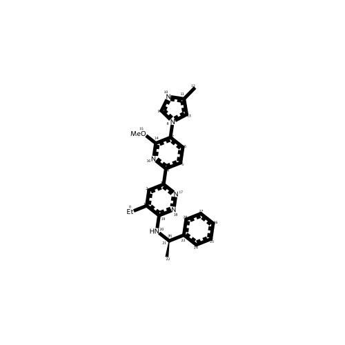 CCc1cc(-c2ccc(-n3cnc(C)c3)c(OC)n2)nnc1N[C@H](C)c1ccccc1